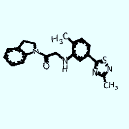 Cc1nsc(-c2ccc(C)c(NCC(=O)N3CCc4ccccc43)c2)n1